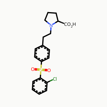 O=C(O)C1CCCN1CCc1ccc(S(=O)(=O)c2ccccc2Cl)cc1